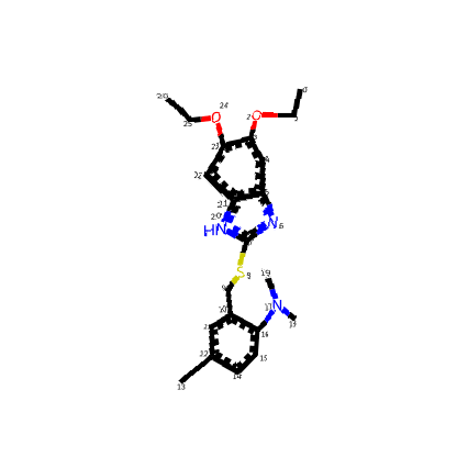 CCOc1cc2nc(SCc3cc(C)ccc3N(C)C)[nH]c2cc1OCC